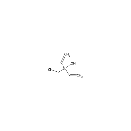 C=C[Si](O)(C=C)CCl